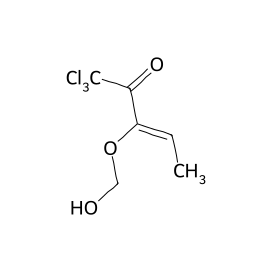 CC=C(OCO)C(=O)C(Cl)(Cl)Cl